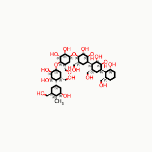 C[C@@H]1[C@@H](CO)C[C@H](C2[C@@H](CO)C[C@H](O[C@@H]3[C@@H](CO)C[C@H](O[C@@H]4[C@@H](CO)CC([C@@H]5[C@@H](CO)C[C@H](C6[C@@H](CO)CCC[C@H]6O)[C@H](O)[C@H]5O)[C@H](O)[C@H]4O)[C@H](O)[C@H]3O)[C@H](O)[C@H]2O)C[C@H]1O